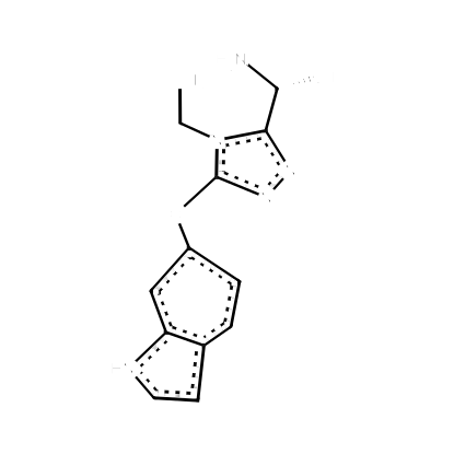 CCn1c(Oc2ccc3cc[nH]c3c2)nnc1[C@@H](C)N